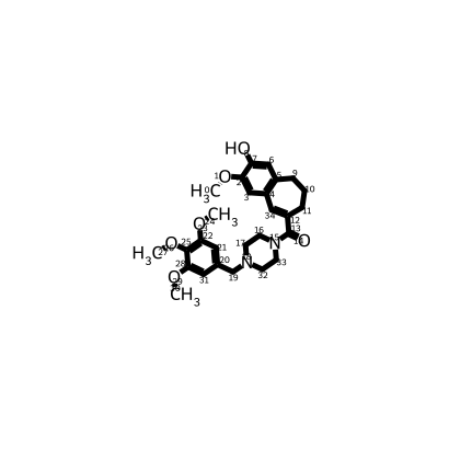 COc1cc2c(cc1O)CCCC(C(=O)N1CCN(Cc3cc(OC)c(OC)c(OC)c3)CC1)=C2